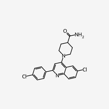 NC(=O)C1CCN(c2cc(-c3ccc(Cl)cc3)nc3ccc(Cl)cc23)CC1